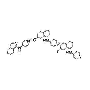 Ic1cc2c(Nc3ccncc3)cccc2cc1-[n+]1ccc(Nc2cccc3ccc(OC[n+]4ccc(Nc5nccc6ccccc56)cc4)cc23)cc1